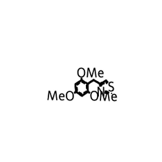 COc1cc(OC)c(Cc2cs[c]n2)c(OC)c1